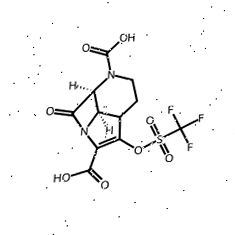 O=C(O)C1=C(OS(=O)(=O)C(F)(F)F)C2CCN(C(=O)O)[C@@H]3C(=O)N1[C@H]23